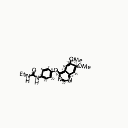 CCNC(=O)Nc1ccc(Oc2ncnc3cc(OC)c(OC)cc23)cc1